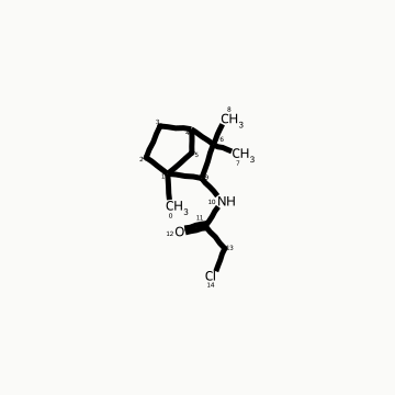 CC12CCC(C1)C(C)(C)C2NC(=O)CCl